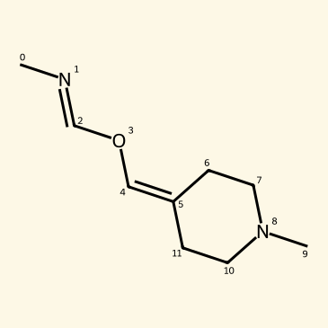 CN=COC=C1CCN(C)CC1